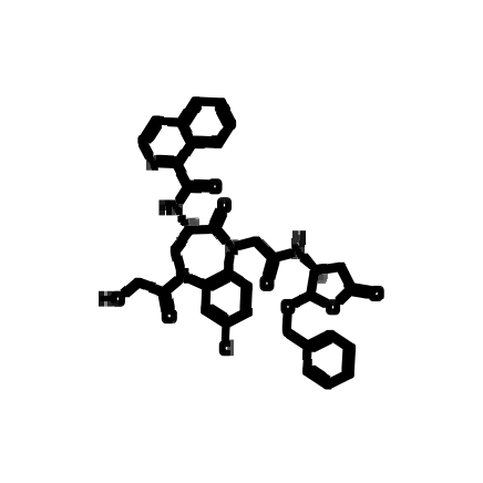 O=C(CN1C(=O)[C@@H](NC(=O)c2nccc3ccccc23)CN(C(=O)CO)c2cc(Cl)ccc21)N[C@H]1CC(=O)OC1OCc1ccccc1